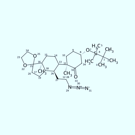 CC(C)(C)[Si](C)(C)O[C@H]1CC[C@](C)(C2CC[C@@]3(C)C(CCC34OCCO4)[C@@H]2CCN=[N+]=[N-])C(=O)C1